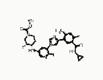 Cc1cc(F)c(C(=O)NC2CC2)cc1-c1cn(-c2cc(N[C@H]3CCN(C(=O)OC(C)(C)C)C[C@H]3F)cnc2F)cn1